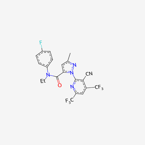 CCN(C(=O)c1cc(C)nn1-c1nc(C(F)(F)F)cc(C(F)(F)F)c1C#N)c1ccc(F)cc1